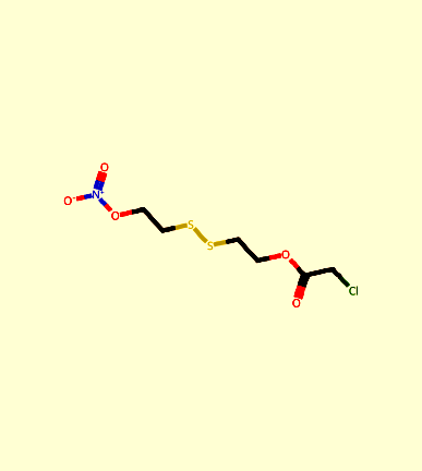 O=C(CCl)OCCSSCCO[N+](=O)[O-]